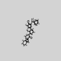 CCc1c(-c2cc(Nc3cnccn3)c(=O)n(C)c2)ccnc1N1CCn2c(cc3c2CCCC3)C1=O